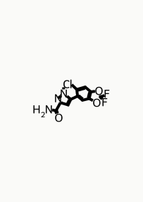 Cn1nc(C(N)=O)cc1-c1cc2c(cc1Cl)OC(F)(F)O2